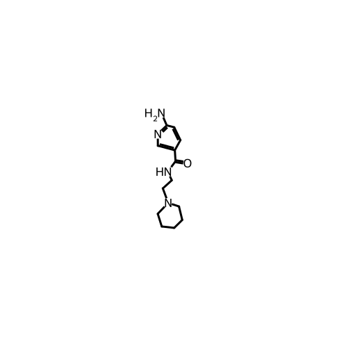 Nc1ccc(C(=O)NCCN2CCCCC2)cn1